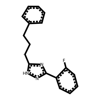 Fc1ccccc1-c1n[nH]c([CH]CCc2ccccc2)n1